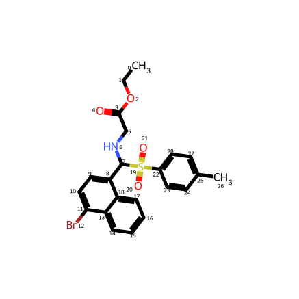 CCOC(=O)CNC(c1ccc(Br)c2ccccc12)S(=O)(=O)c1ccc(C)cc1